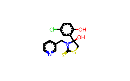 Oc1ccc(Cl)cc1C1(O)CSC(=S)N1Cc1cccnc1